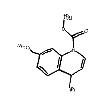 CCCC1C=CN(C(=O)OC(C)(C)C)c2cc(OC)ccc21